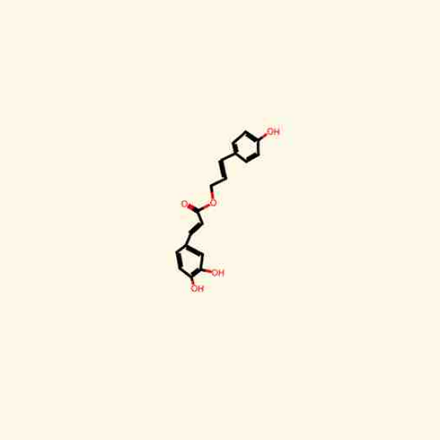 O=C(/C=C/c1ccc(O)c(O)c1)OC/C=C/c1ccc(O)cc1